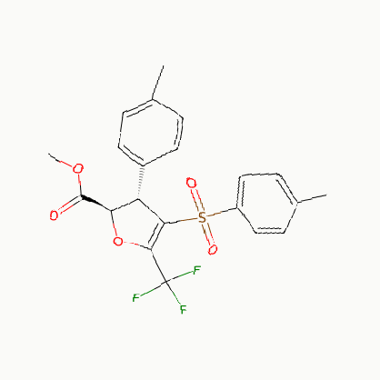 COC(=O)[C@@H]1OC(C(F)(F)F)=C(S(=O)(=O)c2ccc(C)cc2)[C@H]1c1ccc(C)cc1